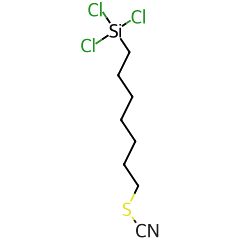 N#CSCCCCCCC[Si](Cl)(Cl)Cl